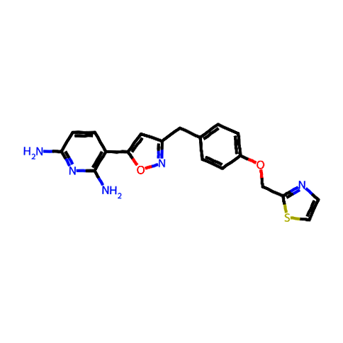 Nc1ccc(-c2cc(Cc3ccc(OCc4nccs4)cc3)no2)c(N)n1